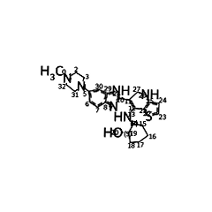 CN1CCN(c2ccc3nc(C4=C(N[C@@H]5CCCC[C@@H]5O)c5sccc5NC4)[nH]c3c2)CC1